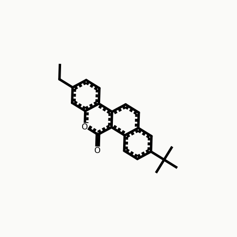 CCc1ccc2c(c1)oc(=O)c1c3ccc(C(C)(C)C)cc3ccc21